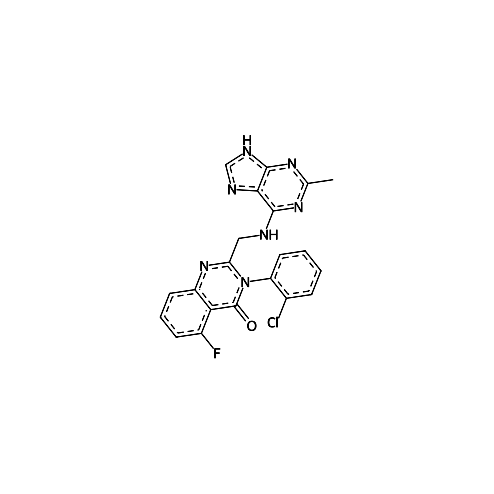 Cc1nc(NCc2nc3cccc(F)c3c(=O)n2-c2ccccc2Cl)c2nc[nH]c2n1